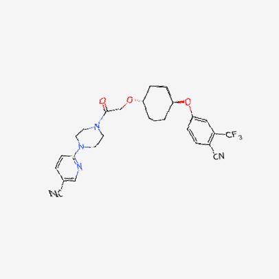 N#Cc1ccc(N2CCN(C(=O)CO[C@H]3CC[C@H](Oc4ccc(C#N)c(C(F)(F)F)c4)CC3)CC2)nc1